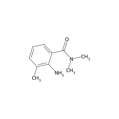 Cc1cccc(C(=O)N(C)C)c1N